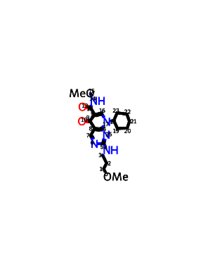 COCCCNc1ncc2c(=O)c(C(=O)NOC)cn(C3CCCCC3)c2n1